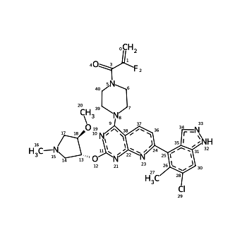 C=C(F)C(=O)N1CCN(c2nc(O[C@@H]3CN(C)C[C@H]3OC)nc3nc(-c4c(C)c(Cl)cc5[nH]ncc45)ccc23)CC1